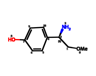 COC[C@H](N)c1ccc(O)cc1